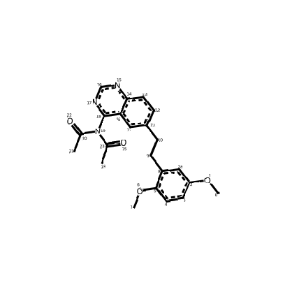 COc1ccc(OC)c(CCc2ccc3ncnc(N(C(C)=O)C(C)=O)c3c2)c1